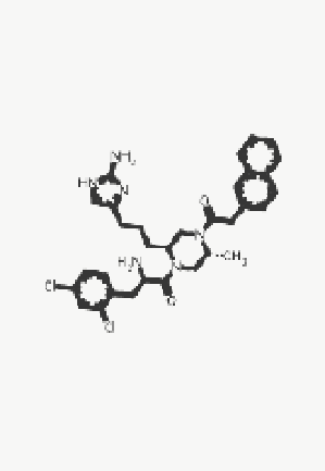 C[C@@H]1CN(C(=O)C(N)Cc2ccc(Cl)cc2Cl)[C@@H](CCCc2c[nH]c(N)n2)CN1C(=O)Cc1ccc2ccccc2c1